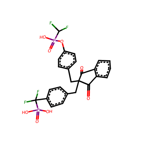 O=C1c2ccccc2C(=O)C1(Cc1ccc(OP(=O)(O)C(F)F)cc1)Cc1ccc(C(F)(F)P(=O)(O)O)cc1